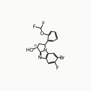 O[C@H]1CC(c2ccccc2OC(F)F)n2c1nc1cc(F)c(Br)cc12